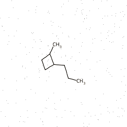 CCCC1CC[C]1C